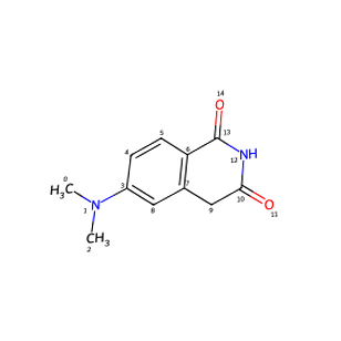 CN(C)c1ccc2c(c1)CC(=O)NC2=O